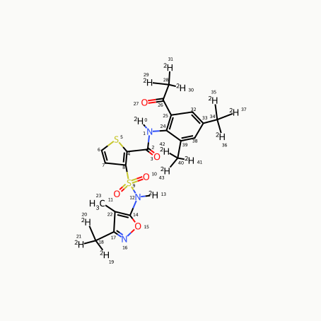 [2H]N(C(=O)c1sccc1S(=O)(=O)N([2H])c1onc(C([2H])([2H])[2H])c1C)c1c(C(=O)C([2H])([2H])[2H])cc(C([2H])([2H])[2H])cc1C([2H])([2H])[2H]